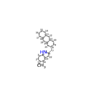 Cc1ccc2[nH]c(Cc3ccc4cc5ccccc5cc4c3)cc2c1